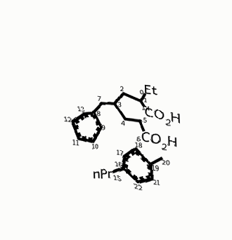 CCC(CC(CCC(=O)O)Cc1ccccc1)C(=O)O.CCCc1ccc(C)cc1